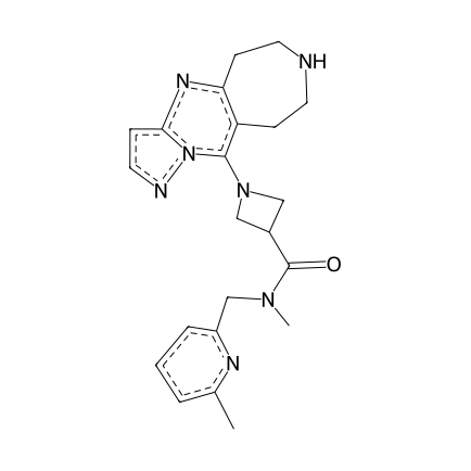 Cc1cccc(CN(C)C(=O)C2CN(c3c4c(nc5ccnn35)CCNCC4)C2)n1